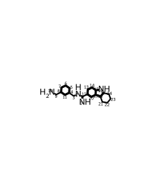 N=C(NCc1cccc(CN)c1)c1ccc2[nH]c3c(c2c1)CCCC3